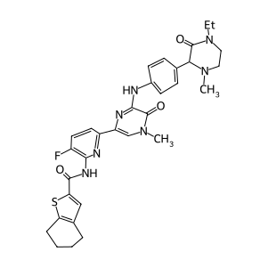 CCN1CCN(C)C(c2ccc(Nc3nc(-c4ccc(F)c(NC(=O)c5cc6c(s5)CCCC6)n4)cn(C)c3=O)cc2)C1=O